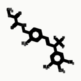 COC(=O)C(=O)NCc1ccc(/C=C/C(c2cc(C)c(C)c(C)c2)C(F)(F)F)cc1C